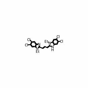 CCN1C(=CC=Cc2nc3cc(Cl)c(Cl)cc3n2CC)Nc2cc(Cl)c(Cl)cc21